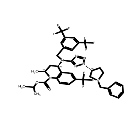 CC(C)OC(=O)N1c2ccc(C(F)(F)F)cc2[C@H](N(Cc2cc(C(F)(F)F)cc(C(F)(F)F)c2)c2nnn([C@@H]3CCN(Cc4ccccc4)C3)n2)C[C@@H]1C